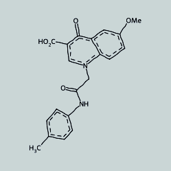 COc1ccc2c(c1)c(=O)c(C(=O)O)cn2CC(=O)Nc1ccc(C)cc1